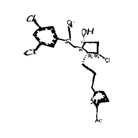 CC(=O)c1ccc(CCC[C@@H]2[C@@H](C[S+]([O-])c3cc(Cl)cc(Cl)c3)[C@H](O)C[C@H]2Cl)s1